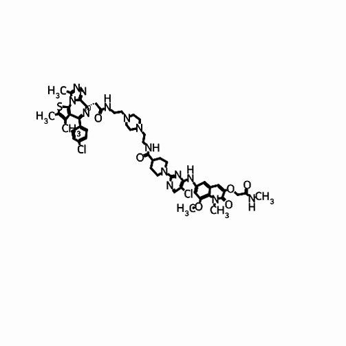 CNC(=O)COc1cc2cc(Nc3nc(N4CCC(C(=O)NCCN5CCN(CCNC(=O)C[C@@H]6N=C(c7ccc(Cl)cc7)c7c(sc(C)c7C)-n7c(C)nnc76)CC5)CC4)ncc3Cl)cc(OC)c2n(C)c1=O